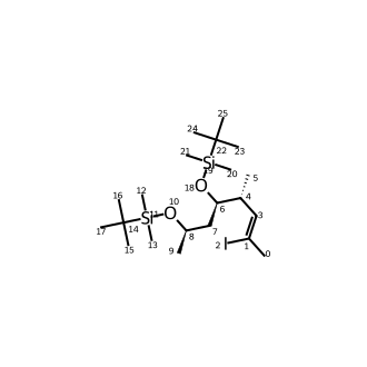 C/C(I)=C/[C@@H](C)[C@@H](C[C@@H](C)O[Si](C)(C)C(C)(C)C)O[Si](C)(C)C(C)(C)C